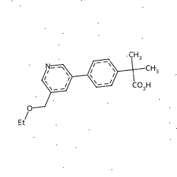 CCOCc1cncc(-c2ccc(C(C)(C)C(=O)O)cc2)c1